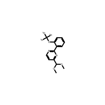 [2H]C([2H])([2H])Oc1ccccc1-c1nccc(C(OC)OC)n1